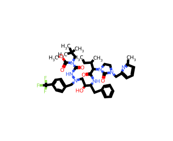 CCC(C)C(C(=O)NC(Cc1ccccc1)C(O)CN(Cc1ccc(C(F)(F)F)cc1)NC(=O)N(CC(C)(C)C)C(=O)OC)N1CCN(Cc2cccc(C)n2)C1=O